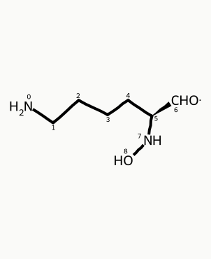 NCCCC[C@@H]([C]=O)NO